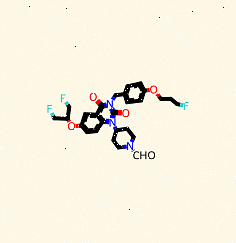 O=CN1CCC(n2c(=O)n(Cc3ccc(OCCCF)cc3)c(=O)c3cc(OC(CF)CF)ccc32)CC1